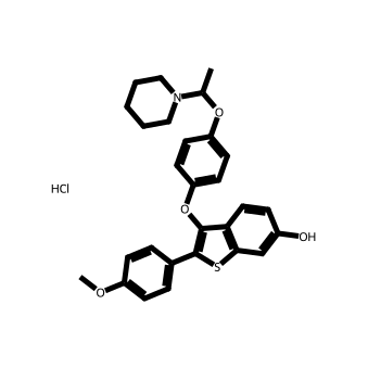 COc1ccc(-c2sc3cc(O)ccc3c2Oc2ccc(OC(C)N3CCCCC3)cc2)cc1.Cl